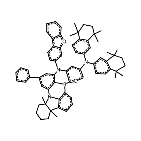 CC1(C)CCC(C)(C)c2cc(N(c3ccc4c(c3)N(c3ccc5c(c3)oc3ccccc35)c3cc(-c5ccccc5)cc5c3B4c3cccc4c3N5C3(C)CCCCC43C)c3ccc4c(c3)C(C)(C)CCC4(C)C)ccc21